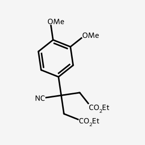 CCOC(=O)CC(C#N)(CC(=O)OCC)c1ccc(OC)c(OC)c1